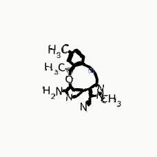 Cc1ccc2c(c1)[C@@H](C)Oc1cc(cnc1N)-c1c(nn(C)c1C#N)C/C=C\2